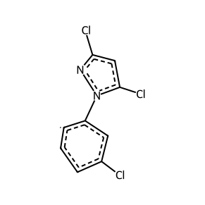 Clc1cc[c]c(-n2nc(Cl)cc2Cl)c1